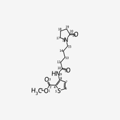 COC(=O)c1sccc1NC(=O)CCCCN1CCCC1=O